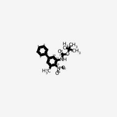 Cc1cc(-c2ccccc2)cc(NC(=O)OC(C)(C)C)c1[N+](=O)[O-]